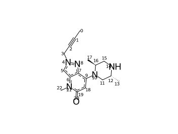 CC#CCn1cc2c(n1)c(N1C[C@@H](C)NC[C@@H]1C)cc(=O)n2C